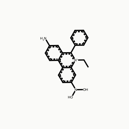 CC[n+]1c(-c2ccccc2)c2cc(N)ccc2c2ccc(N(O)O)cc21